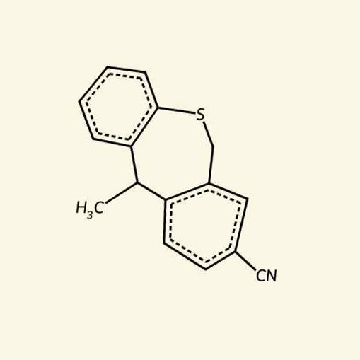 CC1c2ccc(C#N)cc2CSc2ccccc21